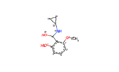 COc1cccc(O)c1C(O)NC1CC1